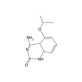 CC(C)OC1=CC=CC2NC(=O)N=C(N)C12